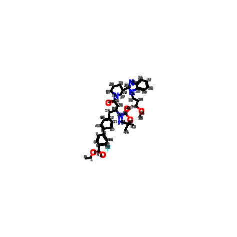 CCOC(=O)c1ccc(-c2ccc(CC(CC(=O)N3CCCC(c4nc5ccccc5n4CCCOC)C3)NC(=O)OC(C)(C)C)cc2)cc1F